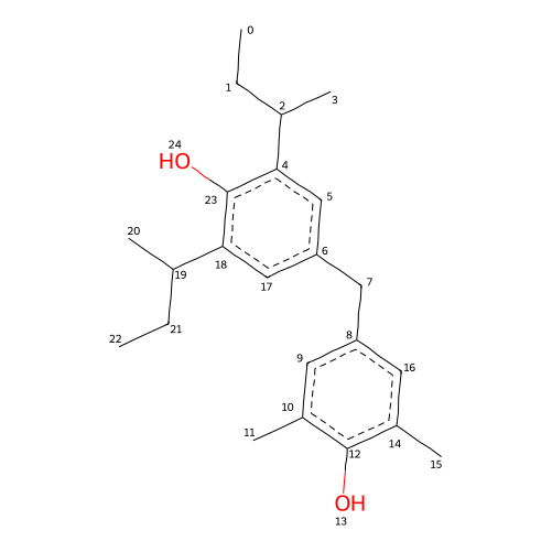 CCC(C)c1cc(Cc2cc(C)c(O)c(C)c2)cc(C(C)CC)c1O